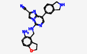 N#Cc1cn2c(NCc3c(N)ccc4c3CCO4)ncc(-c3ccc4c(c3)CNC4)c2n1